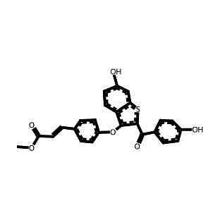 COC(=O)/C=C/c1ccc(Oc2c(C(=O)c3ccc(O)cc3)sc3cc(O)ccc23)cc1